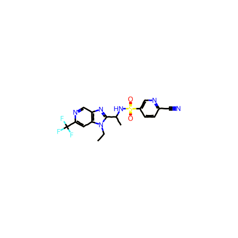 CCn1c(C(C)NS(=O)(=O)c2ccc(C#N)nc2)nc2cnc(C(F)(F)F)cc21